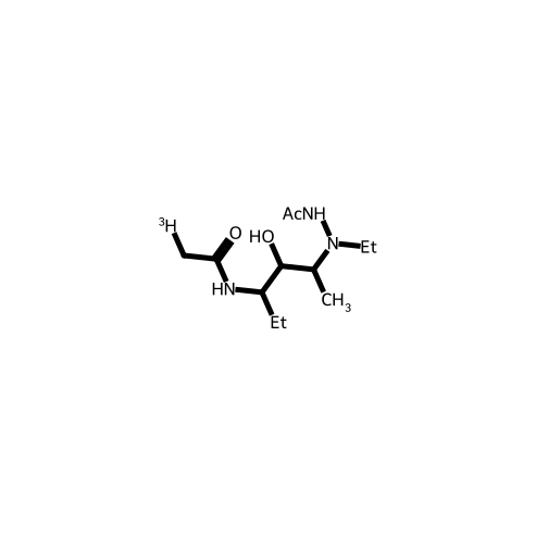 [3H]CC(=O)NC(CC)C(O)C(C)N(CC)NC(C)=O